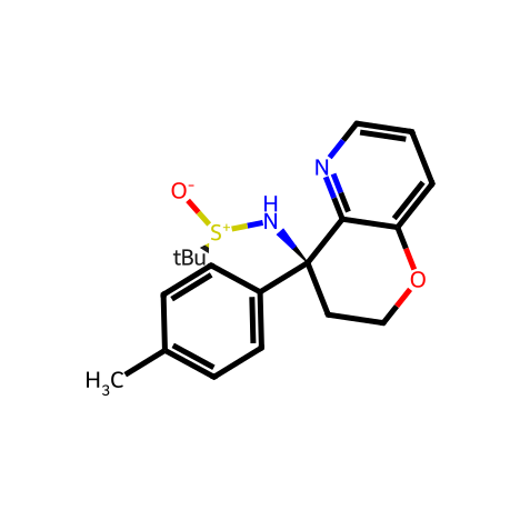 Cc1ccc([C@@]2(N[S@+]([O-])C(C)(C)C)CCOc3cccnc32)cc1